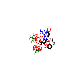 C[C@@]12OC3(CCCC3)OC1C(COS(=O)(=O)C(F)(F)F)(COS(=O)(=O)C(F)(F)F)O[C@H]2n1ccc(=O)[nH]c1=O